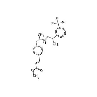 COC(=O)C=Cc1ccc(CC(C)NCC(O)c2cccc(C(F)(F)F)c2)cc1